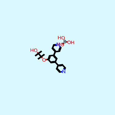 CC(C)(O)C(C)(C)Oc1cc(-c2ccncc2)cc(-c2ccncc2)c1.OB(O)O